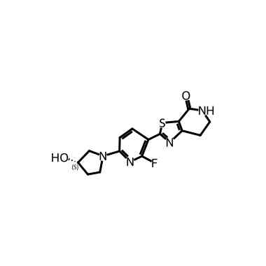 O=C1NCCc2nc(-c3ccc(N4CC[C@H](O)C4)nc3F)sc21